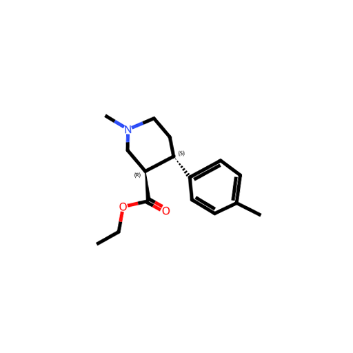 CCOC(=O)[C@H]1CN(C)CC[C@@H]1c1ccc(C)cc1